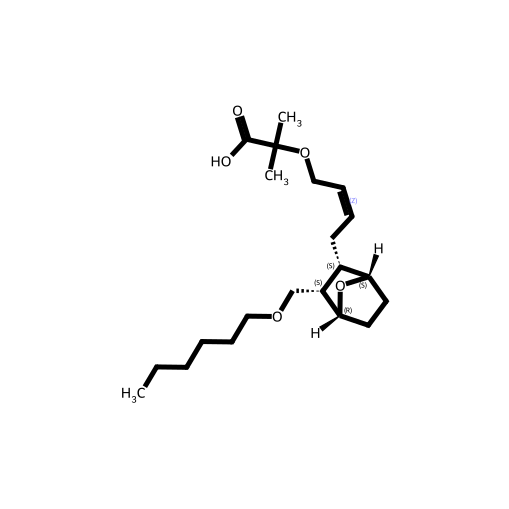 CCCCCCOC[C@@H]1[C@H](C/C=C\COC(C)(C)C(=O)O)[C@@H]2CC[C@H]1O2